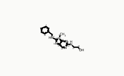 Cn1c(NCc2ccccc2)nc2cnc(NCCO)nc21